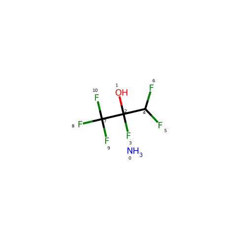 N.OC(F)(C(F)F)C(F)(F)F